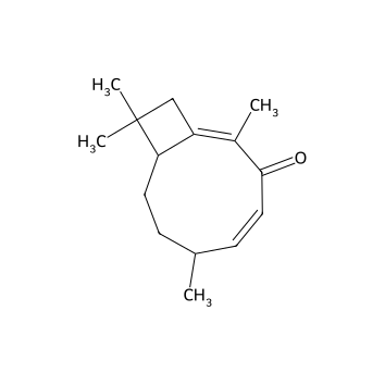 C/C1=C2\CC(C)(C)C2CCC(C)/C=C\C1=O